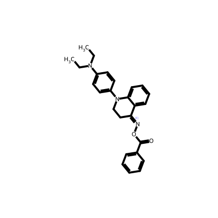 CCN(CC)c1ccc(N2CC/C(=N\OC(=O)c3ccccc3)c3ccccc32)cc1